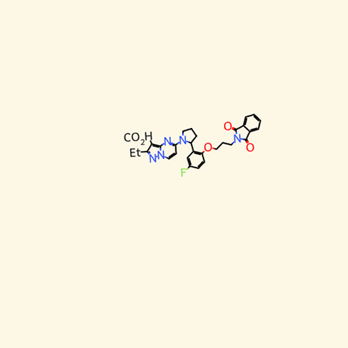 CCc1nn2ccc(N3CCCC3c3cc(F)ccc3OCCCN3C(=O)c4ccccc4C3=O)nc2c1C(=O)O